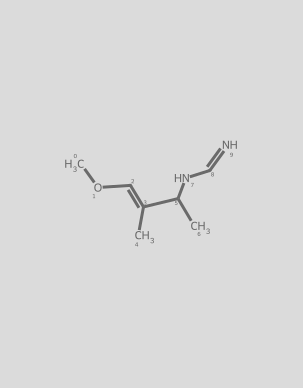 CO/C=C(\C)C(C)NC=N